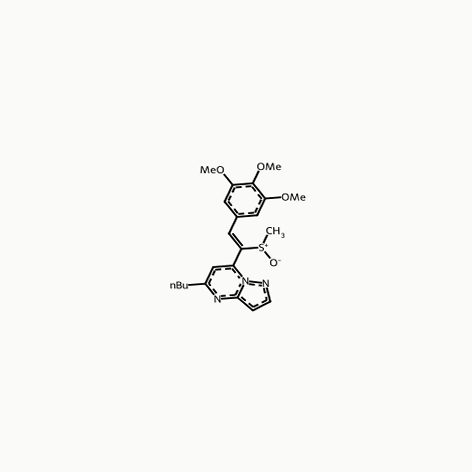 CCCCc1cc(C(=Cc2cc(OC)c(OC)c(OC)c2)[S+](C)[O-])n2nccc2n1